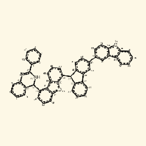 c1ccc(C2=Nc3ccccc3C(c3cccc4oc5c(C6c7ccccc7-c7cc(-c8ccc9oc%10ccccc%10c9c8)ccc76)cccc5c34)N2)cc1